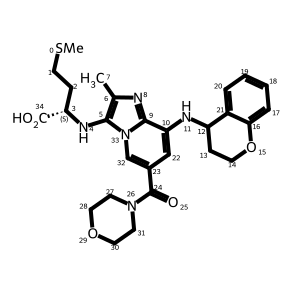 CSCC[C@H](Nc1c(C)nc2c(NC3CCOc4ccccc43)cc(C(=O)N3CCOCC3)cn12)C(=O)O